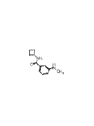 CNc1cccc(C(=O)NC2CCC2)c1